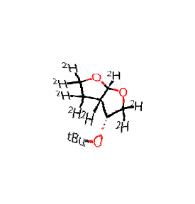 [2H]C1([2H])O[C@@]2([2H])OC([2H])([2H])C([2H])([2H])[C@@]2([2H])[C@H]1OC(C)(C)C